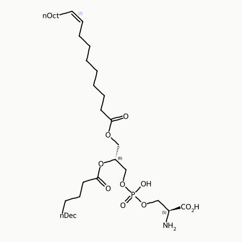 CCCCCCCC/C=C\CCCCCCCC(=O)OC[C@H](COP(=O)(O)OC[C@H](N)C(=O)O)OC(=O)CCCCCCCCCCCCC